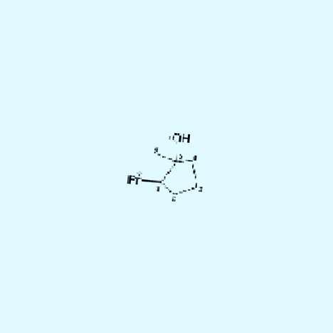 CC(C)C1CCCC1(C)O